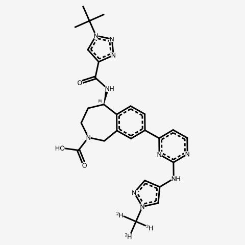 [2H]C([2H])([2H])n1cc(Nc2nccc(-c3ccc4c(c3)CN(C(=O)O)CC[C@H]4NC(=O)c3cn(C(C)(C)C)nn3)n2)cn1